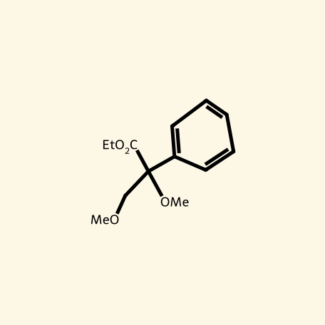 CCOC(=O)C(COC)(OC)c1ccccc1